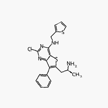 C[C@H](N)Cc1sc2c(NCc3cccs3)nc(Cl)nc2c1-c1ccccc1